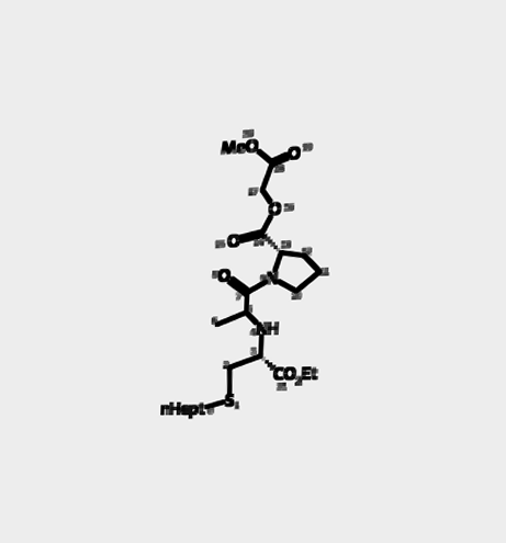 CCCCCCCSC[C@H](NC(C)C(=O)N1CCC[C@H]1C(=O)OCC(=O)OC)C(=O)OCC